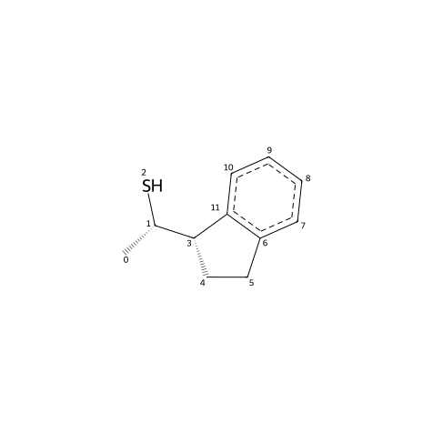 C[C@H](S)[C@H]1CCc2ccccc21